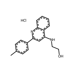 Cc1ccc(-c2cc(NCCO)c3ccccc3n2)cc1.Cl